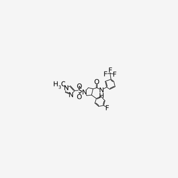 Cn1cnc(S(=O)(=O)N2CC(C(=O)Nc3cccc(C(F)(F)F)c3)C(c3ccc(F)cc3)C2)c1